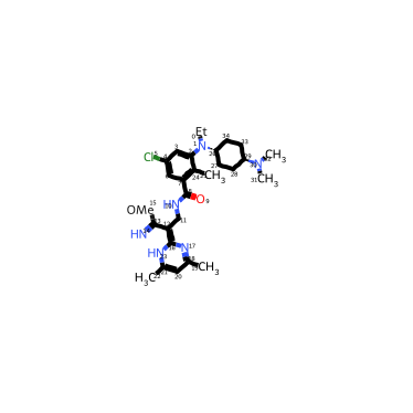 CCN(c1cc(Cl)cc(C(=O)NC/C(C(=N)OC)=C2\N=C(C)C=C(C)N2)c1C)[C@H]1CC[C@H](N(C)C)CC1